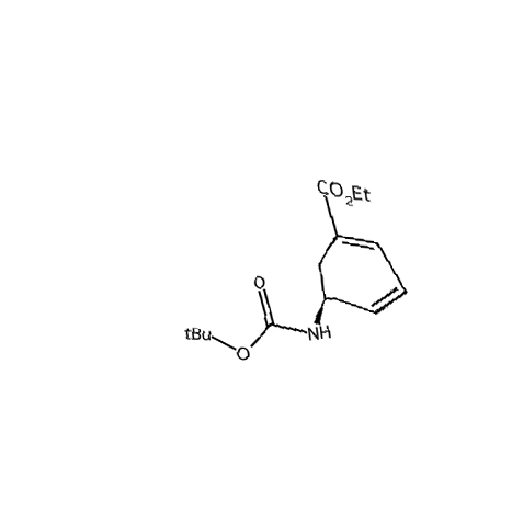 CCOC(=O)C1=CC=C[C@@H](NC(=O)OC(C)(C)C)C1